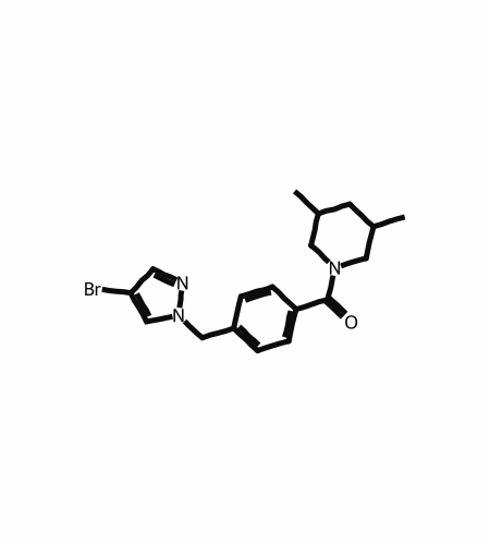 CC1CC(C)CN(C(=O)c2ccc(Cn3cc(Br)cn3)cc2)C1